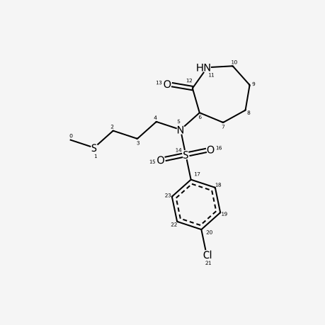 CSCCCN(C1CCCCNC1=O)S(=O)(=O)c1ccc(Cl)cc1